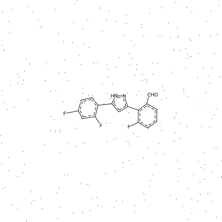 O=Cc1cccc(F)c1-c1cc(-c2ccc(F)cc2F)[nH]n1